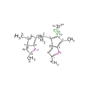 CC1=CC(C)=C2P=C(C)C=C12.CC1=CC(C)=C2P=C(C)C=C12.[Cl-].[Cl-].[Zr+2]